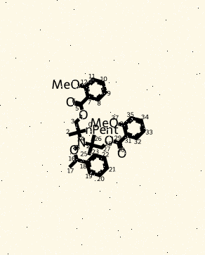 CCCCCC(C)(COC(=O)c1ccccc1OC)N(OC(C)c1ccccc1)C(C)(C)COC(=O)c1ccccc1OC